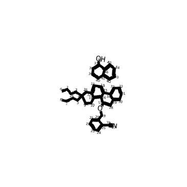 CCCCC1(CCCC)CCc2c(ccc3c2c(OCc2ccccc2C#N)cc2ccccc23)C1.Oc1cccc2ccccc12